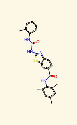 Cc1cc(C)c(NC(=O)c2ccc3nc(NC(=O)Nc4ccccc4C)sc3c2)c(C)c1